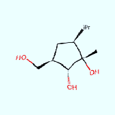 CC(C)[C@@H]1C[C@H](CO)[C@@H](O)[C@@]1(C)O